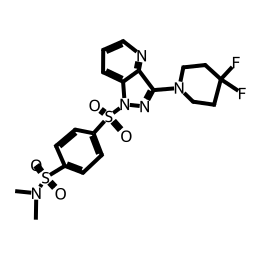 CN(C)S(=O)(=O)c1ccc(S(=O)(=O)n2nc(N3CCC(F)(F)CC3)c3ncccc32)cc1